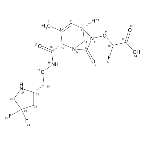 CC1=C[C@@H]2CN(C(=O)N2OC(F)C(=O)O)[C@@H]1C(=O)NOC[C@@H]1CC(F)(F)CN1